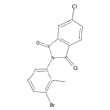 Cc1c(Br)cccc1N1C(=O)c2ccc(Cl)cc2C1=O